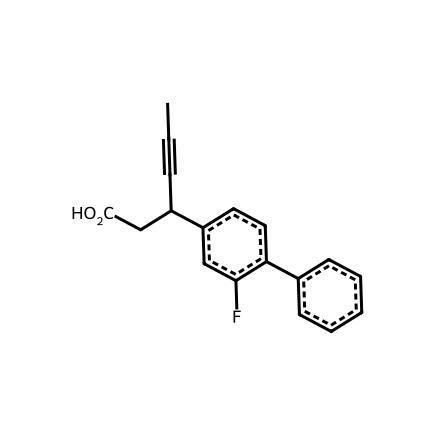 CC#CC(CC(=O)O)c1ccc(-c2ccccc2)c(F)c1